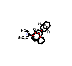 CCOC(=O)/C(=N\O)c1nc2ccccc2n([C@H]2C[C@H]3CCC[C@@H](C2)N3C2CC3CCCCC(C3)C2)c1=O